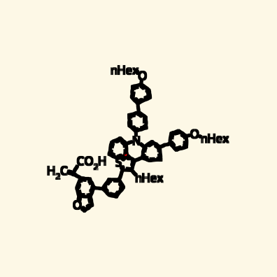 C=C(C(=O)O)c1cc(-c2cccc(-c3scc(-c4ccc(-c5ccc(OCCCCCC)cc5)cc4N(c4ccccc4)c4ccc(-c5ccc(OCCCCCC)cc5)cc4)c3CCCCCC)c2)c2ccoc2c1